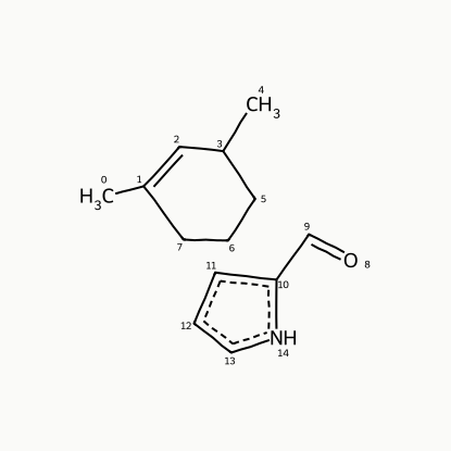 CC1=CC(C)CCC1.O=Cc1ccc[nH]1